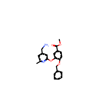 COC(=O)c1ccc(OCc2ccccc2)c(Oc2cc(CN)cc(C)n2)c1